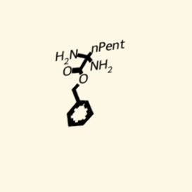 CCCCCC(N)(N)C(=O)OCc1ccccc1